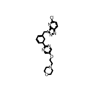 Clc1ccc2nnn(CC3=CC=CC(c4ncc(OCCN5CCOCC5)cn4)C3)c2n1